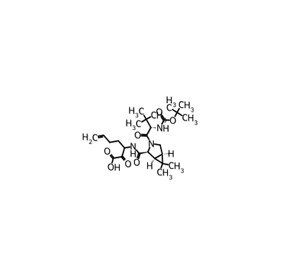 C=CCCC(NC(=O)[C@@H]1[C@H]2[C@@H](CN1C(=O)[C@@H](NC(=O)OC(C)(C)C)C(C)(C)C)C2(C)C)C(=O)C(=O)O